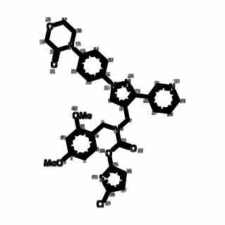 COc1ccc(CN(Cc2cn(-c3ccc(N4CCOCC4=O)cc3)nc2-c2cccnc2)C(=O)Oc2ccc(Cl)s2)c(OC)c1